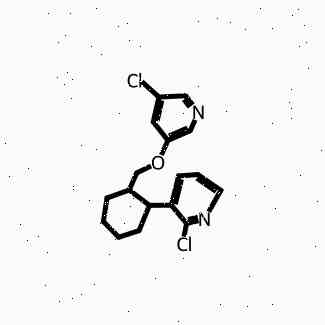 Clc1cncc(OCC2CCCCC2c2cccnc2Cl)c1